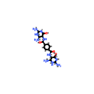 Nc1nc(=O)c(NC(=O)c2ccc(C(=O)Nc3c(N)[nH]c(N)nc3=O)cc2)c(N)[nH]1